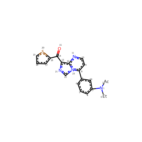 CCN(C(C)=O)c1cccc(-c2ccnc3c(C(=O)c4cccs4)ncn23)c1